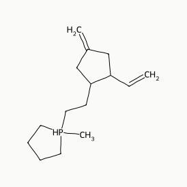 C=CC1CC(=C)CC1CC[PH]1(C)CCCC1